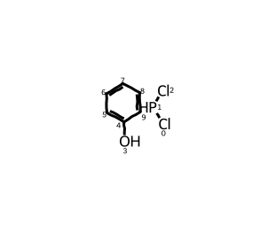 ClPCl.Oc1ccccc1